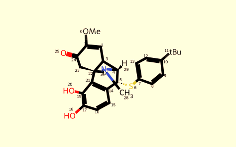 COC1=CC2[C@@H]3[C@H](Sc4ccc(C(C)(C)C)cc4)c4ccc(O)c(O)c4[C@@]2(CC1=O)CN3C